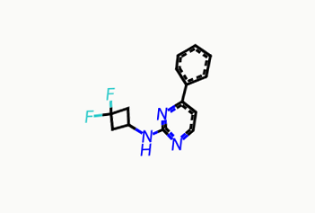 FC1(F)CC(Nc2nccc(-c3ccccc3)n2)C1